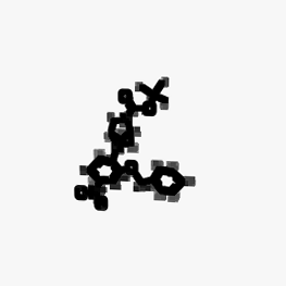 CC(C)(C)OC(=O)N1CC2CC1CN2c1ccc([N+](=O)[O-])cc1OCc1ccccc1